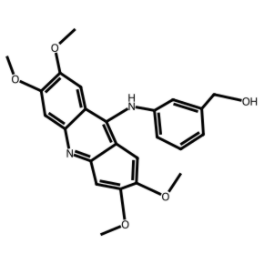 COc1cc2nc3cc(OC)c(OC)cc3c(Nc3cccc(CO)c3)c2cc1OC